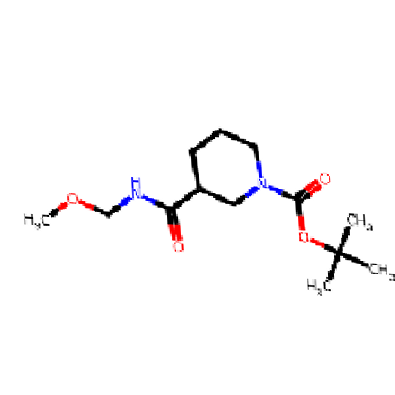 COCNC(=O)C1CCCN(C(=O)OC(C)(C)C)C1